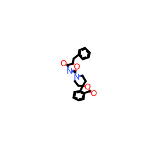 O=C1OC2(CCN(C3=NC(=O)C(Cc4ccccc4)O3)CC2)c2ccccc21